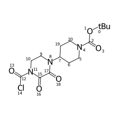 CC(C)(C)OC(=O)N1CCC(N2CCN(C(=O)Cl)C(=O)C2=O)CC1